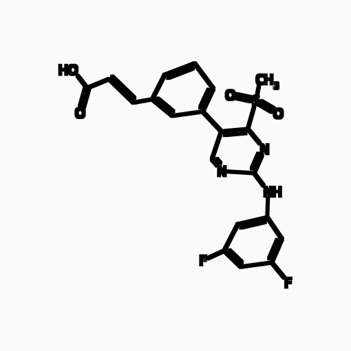 CS(=O)(=O)c1nc(Nc2cc(F)cc(F)c2)ncc1-c1cccc(C=CC(=O)O)c1